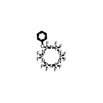 FP1(F)=NP(F)(F)=NP(F)(F)=NP(F)(Oc2ccccc2)=NP(F)(F)=NP(F)(F)=N1